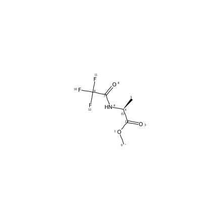 [CH2]OC(=O)[C@H](C)NC(=O)C(F)(F)F